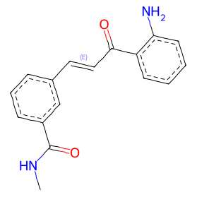 CNC(=O)c1cccc(/C=C/C(=O)c2ccccc2N)c1